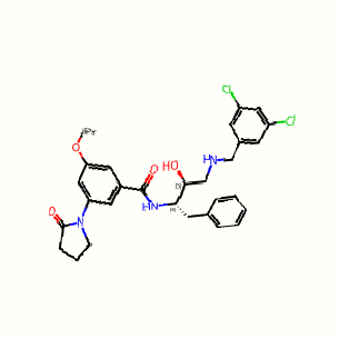 CC(C)Oc1cc(C(=O)N[C@@H](Cc2ccccc2)[C@@H](O)CNCc2cc(Cl)cc(Cl)c2)cc(N2CCCC2=O)c1